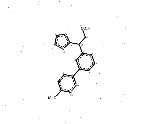 COc1ccc(-c2cccc(C(CC(=O)O)c3nccs3)c2)cn1